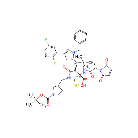 CC(C)(C)OC(=O)N1CCC(CNC(=O)C([C@@H](c2cc(-c3cc(F)ccc3F)cn2Cc2ccccc2)C(C)(C)C)[C@@](CS)(NC(=O)CN2C(=O)C=CC2=O)C(=O)O)C1